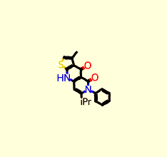 Cc1csc2[nH]c3cc(C(C)C)n(-c4ccccc4)c(=O)c3c(=O)c12